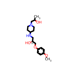 COc1ccc(OC[C@@H](O)CNC2CCN(CC(C)O)CC2)cc1